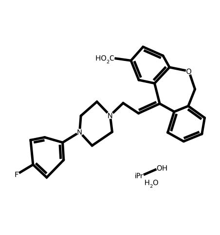 CC(C)O.O.O=C(O)c1ccc2c(c1)C(=CCN1CCN(c3ccc(F)cc3)CC1)c1ccccc1CO2